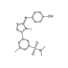 Cc1cc(-c2csc(=Nc3ccc(O)cc3)n2C)cc(S(=O)(=O)N(C)C)c1